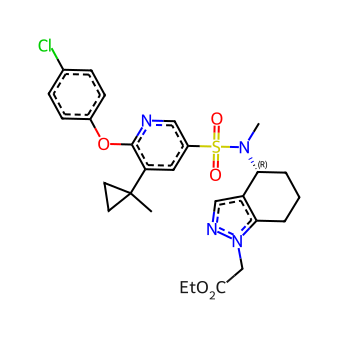 CCOC(=O)Cn1ncc2c1CCC[C@H]2N(C)S(=O)(=O)c1cnc(Oc2ccc(Cl)cc2)c(C2(C)CC2)c1